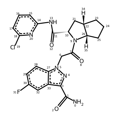 NC(=O)c1nn(CC(=O)N2[C@H](C(=O)Nc3cccc(Cl)n3)C[C@@H]3CCC[C@@H]32)c2ccc(F)cc12